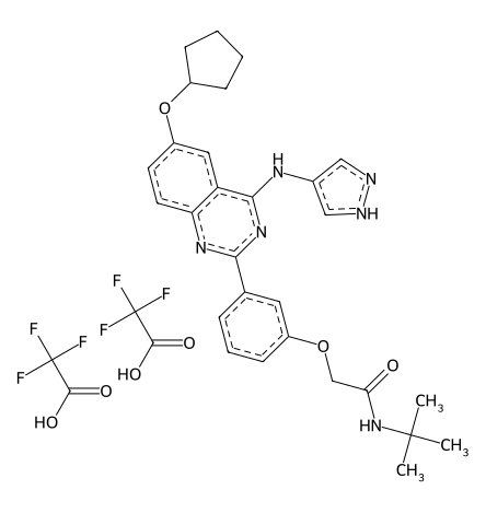 CC(C)(C)NC(=O)COc1cccc(-c2nc(Nc3cn[nH]c3)c3cc(OC4CCCC4)ccc3n2)c1.O=C(O)C(F)(F)F.O=C(O)C(F)(F)F